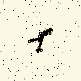 C=C(C)C(=O)OCCCc1cc(CCCOC=O)c2oc(=O)c(-c3ccc(OC(=O)C(=C)C)cc3)cc2c1